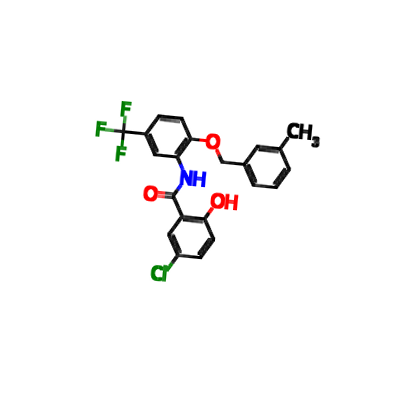 Cc1cccc(COc2ccc(C(F)(F)F)cc2NC(=O)c2cc(Cl)ccc2O)c1